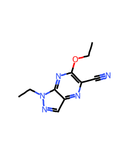 CCOc1nc2c(cnn2CC)nc1C#N